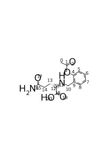 CC(=O)Oc1ccccc1CN[C@@H](CCC(N)=O)C(=O)O